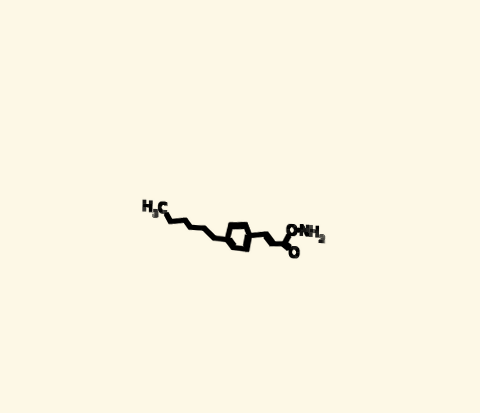 CCCCCCc1ccc(C=CC(=O)ON)cc1